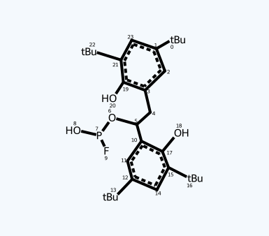 CC(C)(C)c1cc(CC(OP(O)F)c2cc(C(C)(C)C)cc(C(C)(C)C)c2O)c(O)c(C(C)(C)C)c1